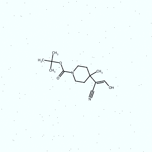 CC(C)(C)OC(=O)N1CCC(C)(/C(C#N)=C/O)CC1